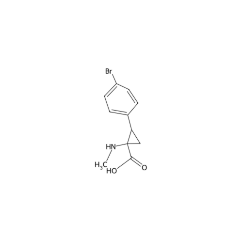 CNC1(C(=O)O)CC1c1ccc(Br)cc1